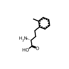 Cc1ccccc1CC[C@@H](N)C(=O)O